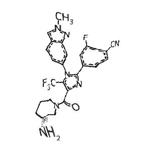 Cn1cc2ccc(-n3c(-c4ccc(C#N)c(F)c4)nc(C(=O)N4CCC[C@@H](N)C4)c3C(F)(F)F)cc2n1